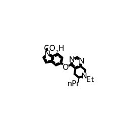 CCC[C@H]1Cc2c(ncnc2Oc2ccc3c(ccn3C(=O)O)c2)CN1CC